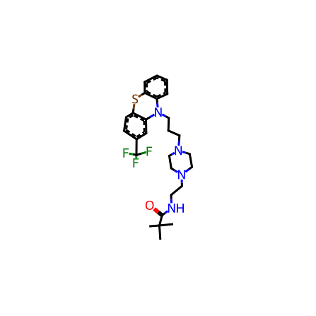 CC(C)(C)C(=O)NCCN1CCN(CCCN2c3ccccc3Sc3ccc(C(F)(F)F)cc32)CC1